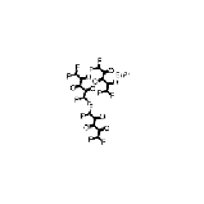 O=C(C(=O)C(F)F)C(=O)C(F)F.O=C(C(=O)C(F)F)C(=O)C(F)F.O=C(C(=O)C(F)F)C(=O)C(F)F.[Eu+3]